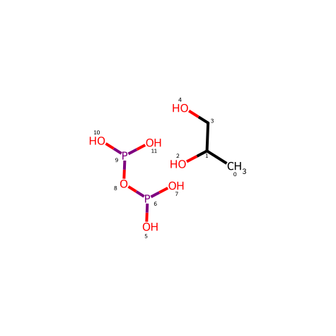 CC(O)CO.OP(O)OP(O)O